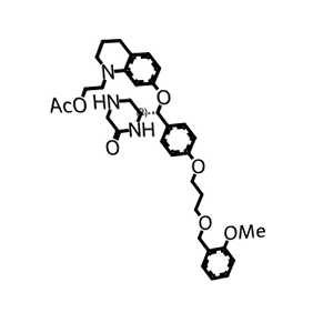 COc1ccccc1COCCCOc1ccc(C(Oc2ccc3c(c2)N(CCOC(C)=O)CCC3)[C@H]2CNCC(=O)N2)cc1